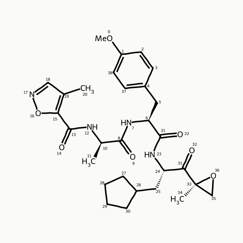 COc1ccc(C[C@H](NC(=O)[C@@H](C)NC(=O)c2oncc2C)C(=O)N[C@@H](CC2CCCC2)C(=O)[C@]2(C)CO2)cc1